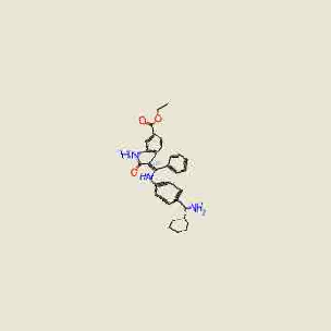 CCOC(=O)c1ccc2c(c1)NC(=O)/C2=C(\Nc1ccc(C(N)C2CCCCC2)cc1)c1ccccc1